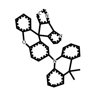 CC1(C)c2ccccc2N(c2ccc3c(c2)C2(c4ccccc4O3)c3cccnc3-c3ncccc32)c2ccccc21